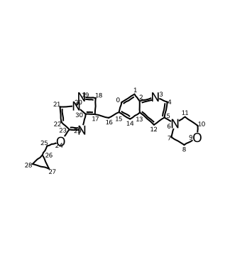 c1cc2ncc(N3CCOCC3)cc2cc1Cc1cnn2ccc(OCC3CC3)nc12